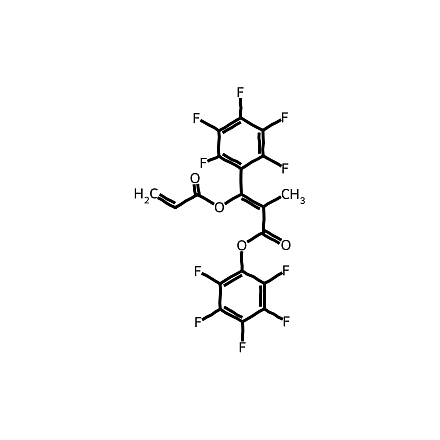 C=CC(=O)OC(=C(C)C(=O)Oc1c(F)c(F)c(F)c(F)c1F)c1c(F)c(F)c(F)c(F)c1F